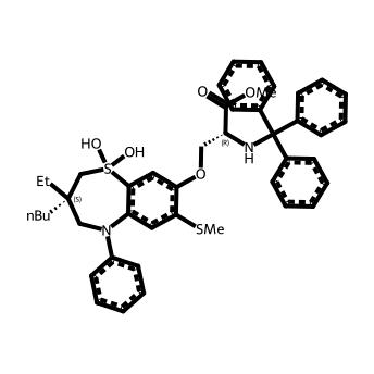 CCCC[C@@]1(CC)CN(c2ccccc2)c2cc(SC)c(OC[C@@H](NC(c3ccccc3)(c3ccccc3)c3ccccc3)C(=O)OC)cc2S(O)(O)C1